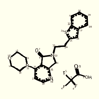 O=C(O)C(F)(F)F.O=C1c2c(N3CCOCC3)ccnc2CN1CCc1cc2ccccc2s1